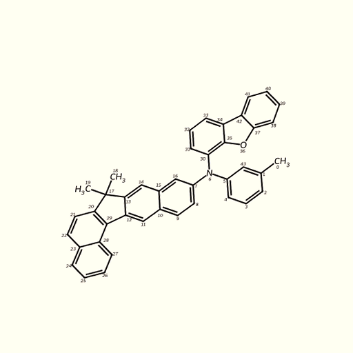 Cc1cccc(N(c2ccc3cc4c(cc3c2)C(C)(C)c2ccc3ccccc3c2-4)c2cccc3c2oc2ccccc23)c1